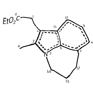 CCOC(=O)Cc1c(C)n2c3c(cccc13)CCC2